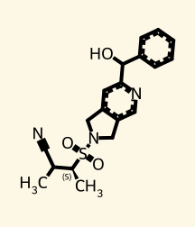 CC(C#N)[C@H](C)S(=O)(=O)N1Cc2cnc(C(O)c3ccccc3)cc2C1